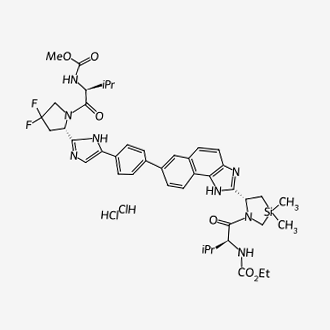 CCOC(=O)N[C@H](C(=O)N1C[Si](C)(C)C[C@H]1c1nc2ccc3cc(-c4ccc(-c5cnc([C@@H]6CC(F)(F)CN6C(=O)[C@@H](NC(=O)OC)C(C)C)[nH]5)cc4)ccc3c2[nH]1)C(C)C.Cl.Cl